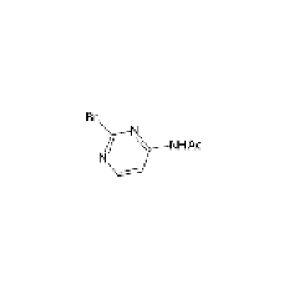 CC(=O)Nc1ccnc(Br)n1